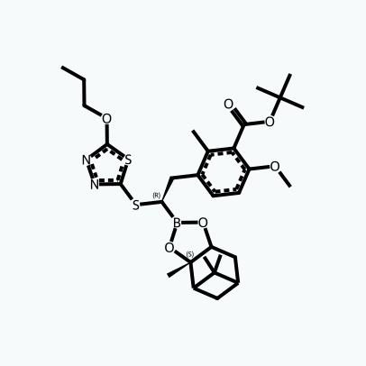 CCCOc1nnc(S[C@@H](Cc2ccc(OC)c(C(=O)OC(C)(C)C)c2C)B2OC3CC4CC(C4(C)C)[C@]3(C)O2)s1